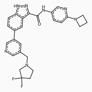 O=C(Nc1ccc(N2CCC2)nc1)c1n[nH]c2ccc(-c3cncc(CN4CCC(F)(F)C4)c3)cc12